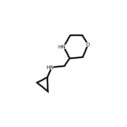 C1COCC(CNC2CC2)N1